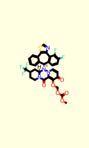 COC(=O)OCOc1c2n(ccc1=O)N([C@@H]1c3ccccc3-c3scnc3-c3c1ccc(F)c3F)[C@@H]1CC(C(F)(F)F)CCN1C2=O